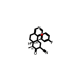 C[C@@H]1C(=O)C(C#N)C[C@@]2(c3cccc(F)c3)c3ncncc3CC[C@@H]12